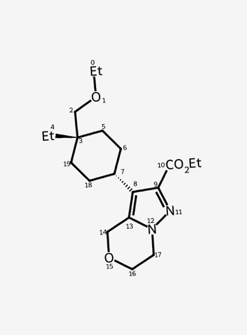 CCOC[C@]1(CC)CC[C@H](c2c(C(=O)OCC)nn3c2COCC3)CC1